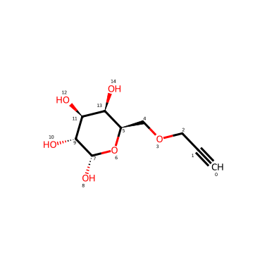 C#CCOC[C@H]1O[C@H](O)[C@H](O)[C@@H](O)[C@H]1O